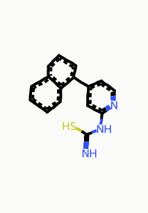 N=C(S)Nc1cc(-c2cccc3ccccc23)ccn1